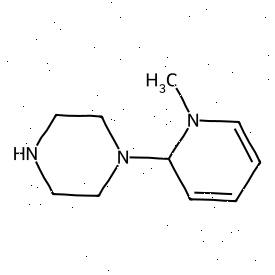 CN1C=CC=CC1N1CCNCC1